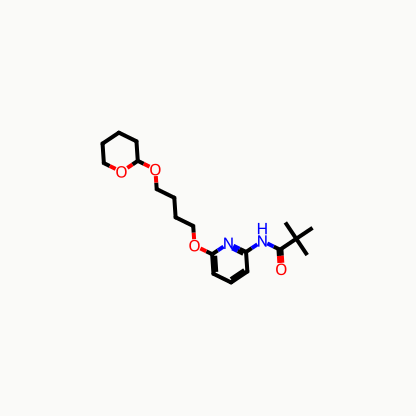 CC(C)(C)C(=O)Nc1cccc(OCCCCOC2CCCCO2)n1